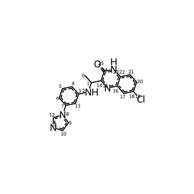 CC(Nc1cccc(-n2ccnc2)c1)c1nc2cc(Cl)ccc2[nH]c1=O